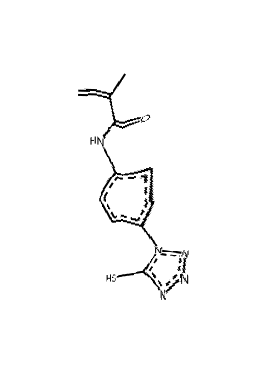 C=C(C)C(=O)Nc1ccc(-n2nnnc2S)cc1